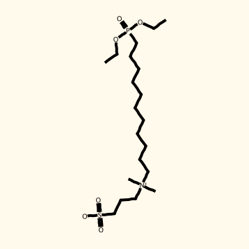 CCOP(=O)(CCCCCCCCCCC[N+](C)(C)CCCS(=O)(=O)[O-])OCC